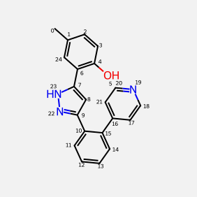 Cc1ccc(O)c(-c2cc(-c3ccccc3-c3ccncc3)n[nH]2)c1